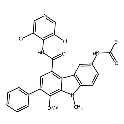 CCC(=O)Nc1ccc2c(c1)c1c(C(=O)Nc3c(Cl)cncc3Cl)cc(-c3ccccc3)c(OC)c1n2C